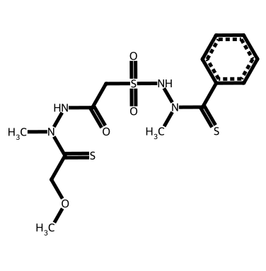 COCC(=S)N(C)NC(=O)CS(=O)(=O)NN(C)C(=S)c1ccccc1